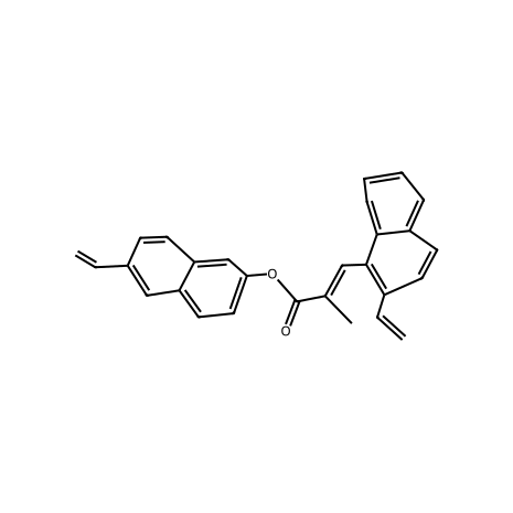 C=Cc1ccc2cc(OC(=O)C(C)=Cc3c(C=C)ccc4ccccc34)ccc2c1